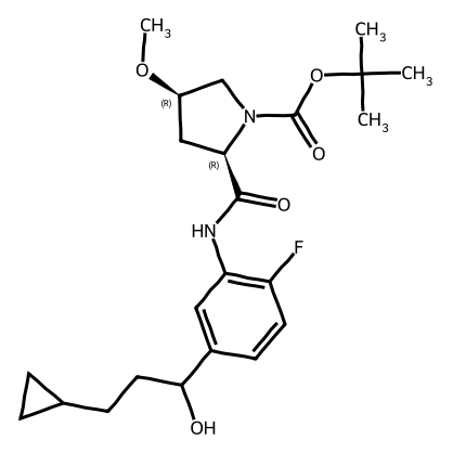 CO[C@@H]1C[C@H](C(=O)Nc2cc(C(O)CCC3CC3)ccc2F)N(C(=O)OC(C)(C)C)C1